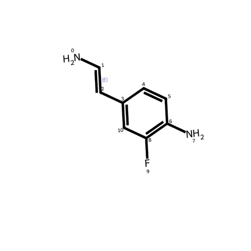 N/C=C/c1ccc(N)c(F)c1